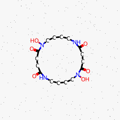 O=C1CCC(=O)N(O)CCCCNC(=O)CCC(=O)N(O)CCCCN1